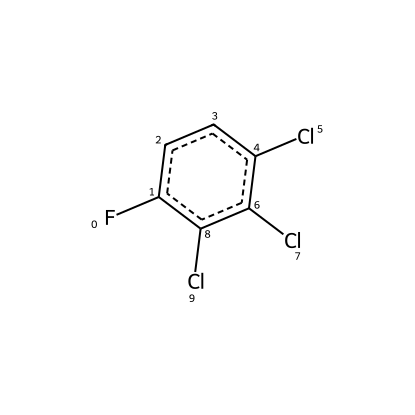 Fc1ccc(Cl)c(Cl)c1Cl